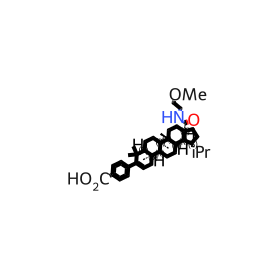 COCCNC(=O)[C@]12CC[C@@H](C(C)C)[C@@H]1[C@H]1CC[C@@H]3[C@@]4(C)CC=C(c5ccc(C(=O)O)cc5)C(C)(C)[C@@H]4CC[C@@]3(C)[C@]1(C)CC2